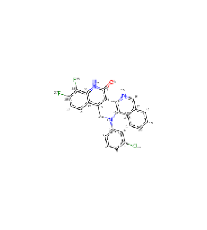 O=c1cc(CN(c2cccc(Cl)c2)c2cncc3ccccc23)c2ccc(F)c(F)c2[nH]1